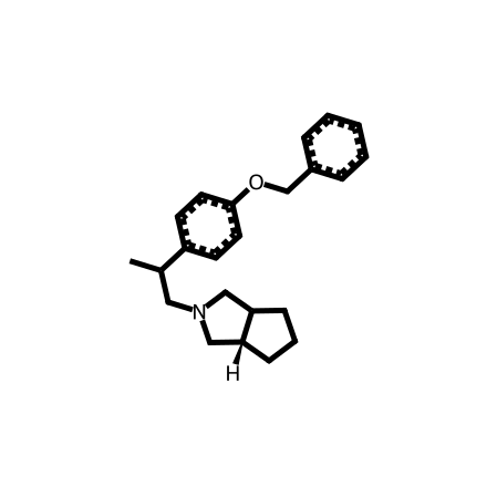 CC(CN1CC2CCC[C@@H]2C1)c1ccc(OCc2ccccc2)cc1